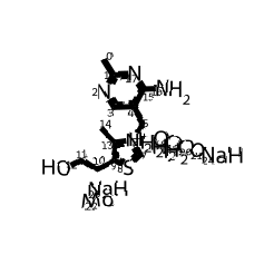 Cc1ncc(C[n+]2csc(CCO)c2C)c(N)n1.O.O.O.O.[Mo].[NaH].[NaH]